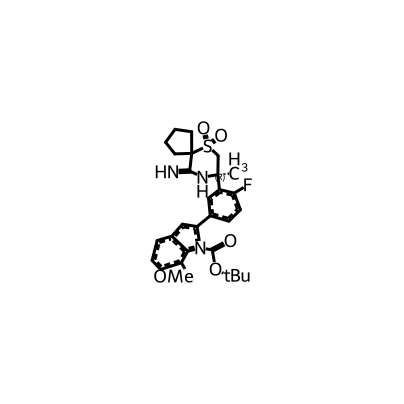 COc1cccc2cc(-c3ccc(F)c([C@]4(C)CS(=O)(=O)C5(CCCC5)C(=N)N4)c3)n(C(=O)OC(C)(C)C)c12